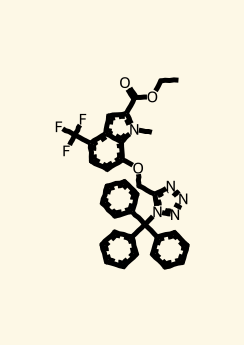 CCOC(=O)c1cc2c(C(F)(F)F)ccc(OCc3nnnn3C(c3ccccc3)(c3ccccc3)c3ccccc3)c2n1C